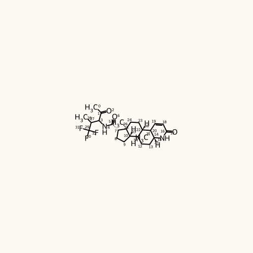 CC(=O)C(NC(=O)[C@H]1CC[C@H]2[C@@H]3CC[C@H]4NC(=O)C=C[C@]4(C)[C@H]3CC[C@]12C)C(C)C(F)(F)F